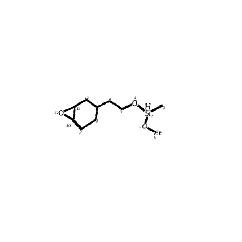 CCO[SiH](C)OCCC1CCC2OC2C1